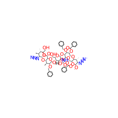 COC(=O)C1O[C@@H](O[C@@H]2C(CO)O[C@@H](O[C@H]3C(C(C)=O)O[C@@H](O[C@@H]4C(COC(=O)c5ccccc5)O[C@H](OC)C(N=[N+]=[N-])[C@H]4C)[C@@H](OC(=O)c4ccccc4)C3OCc3ccccc3)C3NC(=O)O[C@H]32)C(OCc2ccccc2)[C@@H](C)[C@@H]1O[C@H]1OC(CO)[C@@H](C)[C@H](C)C1N=[N+]=[N-]